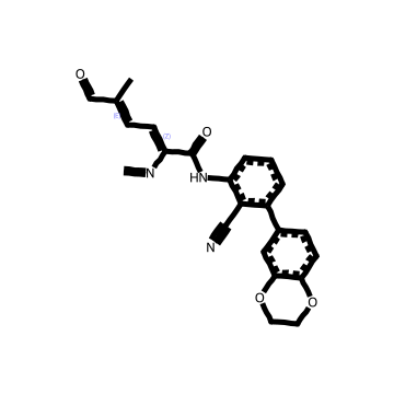 C=N/C(=C\C=C(/C)C=O)C(=O)Nc1cccc(-c2ccc3c(c2)OCCO3)c1C#N